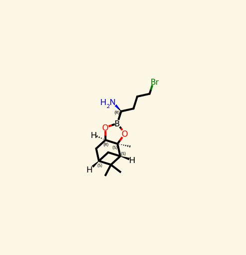 CC1(C)[C@@H]2C[C@H]3OB([C@@H](N)CCCBr)O[C@@]3(C)[C@H]1C2